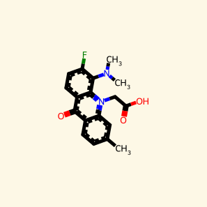 Cc1ccc2c(=O)c3ccc(F)c(N(C)C)c3n(CC(=O)O)c2c1